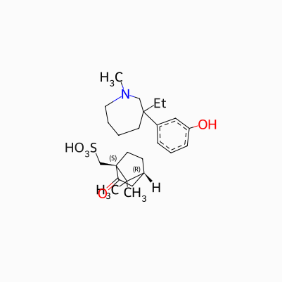 CC1(C)[C@@H]2CC[C@@]1(CS(=O)(=O)O)C(=O)C2.CCC1(c2cccc(O)c2)CCCCN(C)C1